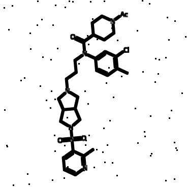 CC(=O)N1CCC(C(=O)N(CCCN2CC3CN(S(=O)(=O)c4cccnc4C)CC3C2)c2ccc(C)c(Cl)c2)CC1